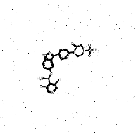 CS(=O)(=O)N1CCN(c2ccc(-c3n[nH]c4ccc(O[C@H](N)c5c(Cl)cncc5Cl)cc34)cn2)C(=O)C1